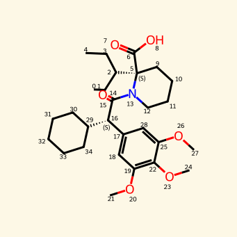 CCC(CC)[C@]1(C(=O)O)CCCCN1C(=O)[C@H](c1cc(OC)c(OC)c(OC)c1)C1CCCCC1